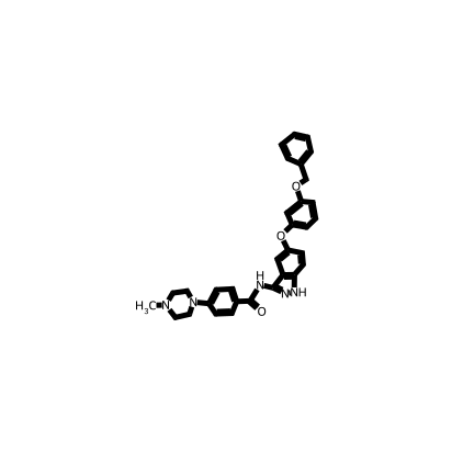 CN1CCN(c2ccc(C(=O)Nc3n[nH]c4ccc(Oc5cccc(OCc6ccccc6)c5)cc34)cc2)CC1